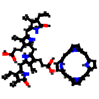 C1=Cc2cc3ccc(cc4nc(cc5ccc(cc1n2)[nH]5)C=C4)[nH]3.C=CC1=C(C)/C(=C/c2[nH]c(Cc3[nH]c(/C=C4\NC(=O)C(C)=C4C=C)c(C)c3CCC(=O)O)c(CCC(=O)O)c2C)NC1=O